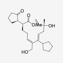 C=C[C@](C)(O)C/C=C(/C(=C\CC[C@H](C(=O)OC)[C@H]1CCCC1=O)CO)C1CCCC1